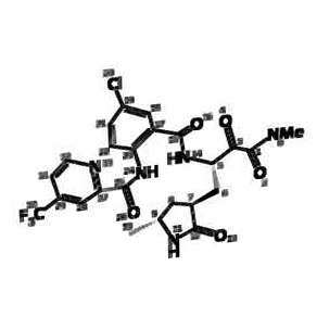 CNC(=O)C(=O)[C@H](C[C@@H]1C[C@@H](C)NC1=O)NC(=O)c1cc(Cl)ccc1NC(=O)c1cc(C(F)(F)F)ccn1